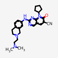 CN(C)CCN1CCc2ccc(Nc3ncc4cc(C#N)c(=O)n(C5CCCC5)c4n3)cc2C1